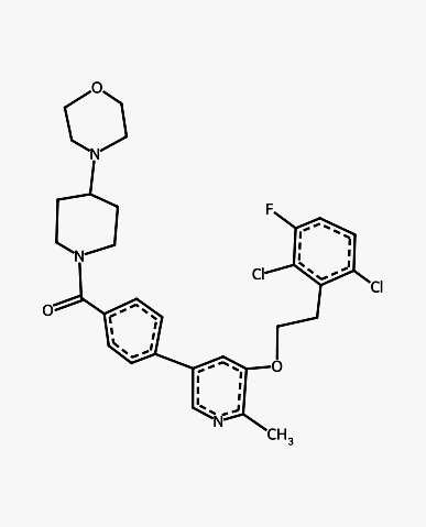 Cc1ncc(-c2ccc(C(=O)N3CCC(N4CCOCC4)CC3)cc2)cc1OCCc1c(Cl)ccc(F)c1Cl